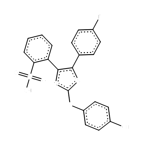 Cc1ccc(Sc2nc(-c3ccccc3S(C)(=O)=O)c(-c3ccc(F)cc3)s2)cc1